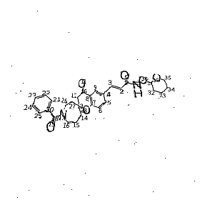 O=C(C=Cc1ccc2c(c1)C(=O)CC1(CCCN(C(=O)c3ccccc3)CC1)O2)NOC1CCCCO1